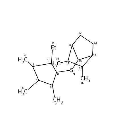 CCC1C(C)C(C)C(C)C1SC1C2CCC1C(C)C2C